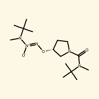 CN(C(=O)N1CC[C@@H](O/N=[N+](\[O-])N(C)C(C)(C)C)C1)C(C)(C)C